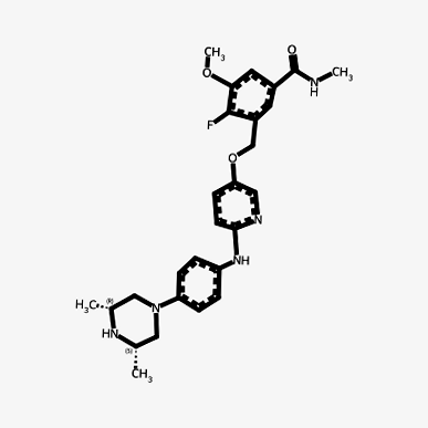 CNC(=O)c1cc(COc2ccc(Nc3ccc(N4C[C@@H](C)N[C@@H](C)C4)cc3)nc2)c(F)c(OC)c1